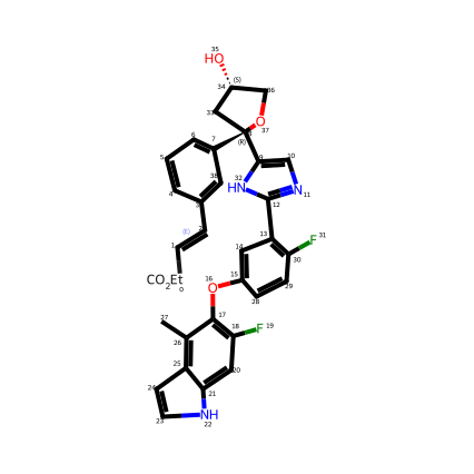 CCOC(=O)/C=C/c1cccc([C@@]2(c3cnc(-c4cc(Oc5c(F)cc6[nH]ccc6c5C)ccc4F)[nH]3)C[C@H](O)CO2)c1